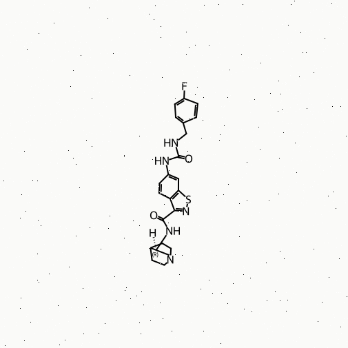 O=C(NCc1ccc(F)cc1)Nc1ccc2c(C(=O)N[C@H]3CN4CCC3CC4)nsc2c1